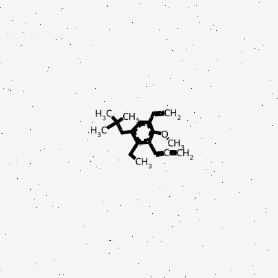 C=C=Cc1c(CC)c(CC(C)(C)C)cc(C=C)c1OC